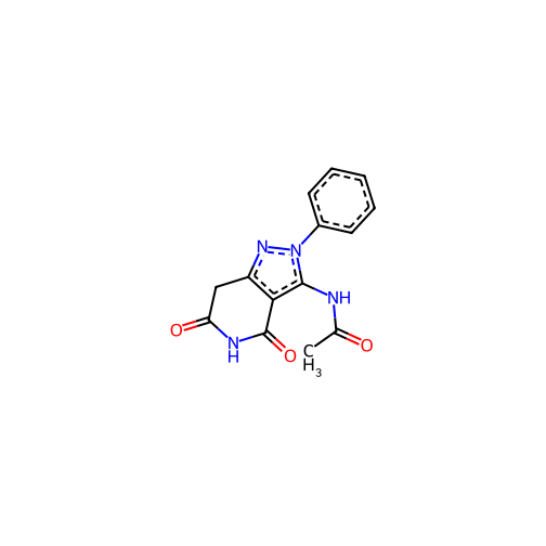 CC(=O)Nc1c2c(nn1-c1ccccc1)CC(=O)NC2=O